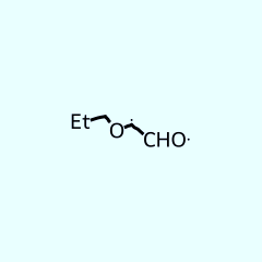 CCCO[CH][C]=O